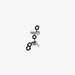 N[C@]1(Cc2ccc3ccccc3c2)CC1c1ccc(NC(=O)c2ccccc2)cc1